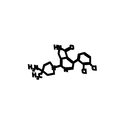 CC1(N)CCN(c2ncc(-c3cccc(Cl)c3Cl)c3c2CNC3=O)CC1